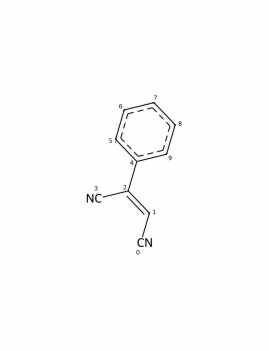 N#CC=C(C#N)c1[c]cccc1